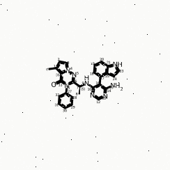 Cc1ccn2nc([C@H](C)Nc3ncnc(N)c3-c3cccc4[nH]ccc34)n(-c3ccccc3)c(=O)c12